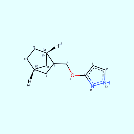 c1cc(OCC2C[C@@H]3CC[C@H]2C3)n[nH]1